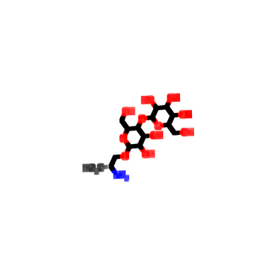 N[C@@H](COC1OC(CO)C(OC2OC(CO)C(O)C(O)C2O)C(O)C1O)C(=O)O